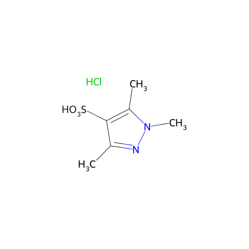 Cc1nn(C)c(C)c1S(=O)(=O)O.Cl